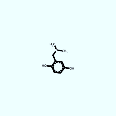 CN(C)Cc1cc(O)ccc1O